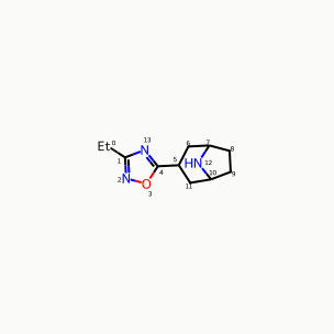 CCc1noc(C2CC3CCC(C2)N3)n1